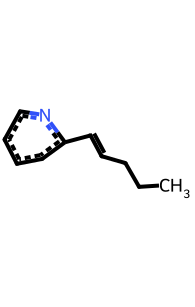 CCCC=Cc1ccccn1